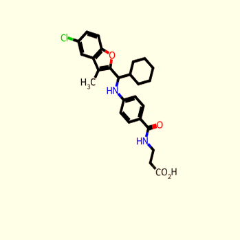 Cc1c(C(Nc2ccc(C(=O)NCCC(=O)O)cc2)C2CCCCC2)oc2ccc(Cl)cc12